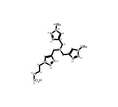 CC(C)(C)n1cc(CN(Cc2cn(CCOS(=O)(=O)O)nn2)Cc2cn(C(C)(C)C)nn2)nn1